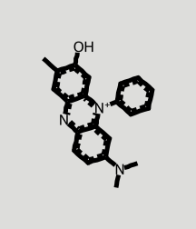 Cc1cc2nc3ccc(N(C)C)cc3[n+](-c3ccccc3)c2cc1O